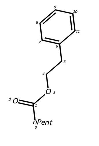 [CH2]CCCCC(=O)OCCc1ccccc1